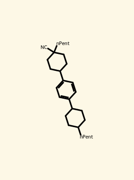 CCCCCC1CCC(c2ccc(C3CCC(C#N)(CCCCC)CC3)cc2)CC1